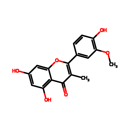 COc1cc(-c2oc3cc(O)cc(O)c3c(=O)c2C)ccc1O